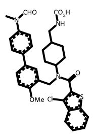 COc1ccc(-c2ccc(N(C)C=O)cc2)cc1CN(C(=O)c1sc2ccccc2c1Cl)C1CCC(CNC(=O)O)CC1